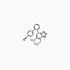 CCN1C(C)=CC(c2ccccc2-c2ccc(C#N)cc2)n2nnnc21